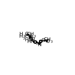 CC1(COc2ccc3c(c2)ncn3-c2ccc(NC(=O)Nc3cc(C(C)(C)C)on3)cc2)COC1